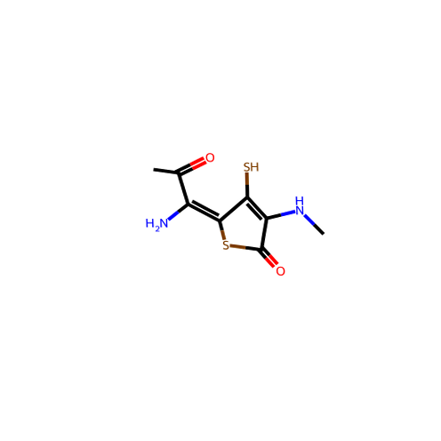 CNC1=C(S)/C(=C(/N)C(C)=O)SC1=O